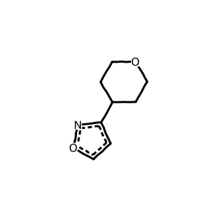 c1cc(C2CCOCC2)no1